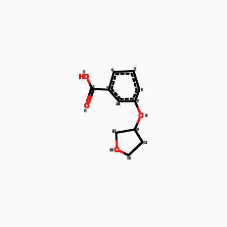 O=C(O)c1cccc(OC2CCOC2)c1